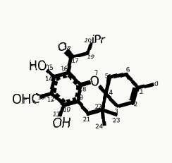 CC1=CCC2(CC1)Oc1c(c(O)c(C=O)c(O)c1C(=O)CC(C)C)CC2(C)C